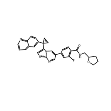 O=C(NCC1CCCO1)c1ccc(-c2cnc3ncc(C4(c5ccc6ncccc6c5)C=C4)n3c2)cc1F